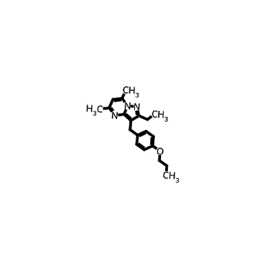 CCCOc1ccc(Cc2c(CC)nn3c(C)cc(C)nc23)cc1